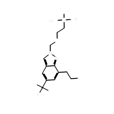 C[Si](C)(C)CCOCn1cc2cc(C(F)(F)F)cc(CCBr)c2n1